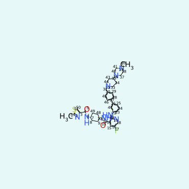 Cc1nc(C(=O)N[C@H]2CC[C@@H](NC(=O)c3cc(F)cnc3Nc3cccc(-c4ccc(CN5CCC(N6CCN(C)CC6)CC5)cc4)c3)CC2)cs1